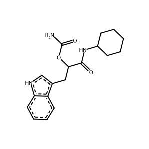 NC(=O)OC(Cc1c[nH]c2ccccc12)C(=O)NC1CCCCC1